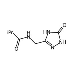 CC(C)C(=O)NCc1n[nH]c(=O)[nH]1